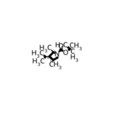 CC(C)[C@@H]1[C@H](C)CN(C(=O)OC(C)(C)C)[C@@H]1C